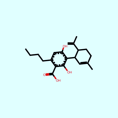 C=C(C)C1CCC(C)=CC1c1c(O)cc(CCCC)c(C(=O)O)c1O